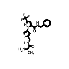 C[C@H](N)C(=O)NCc1cc(-n2nc(C(F)(F)F)cc2C(=O)NCc2ccccc2)cs1